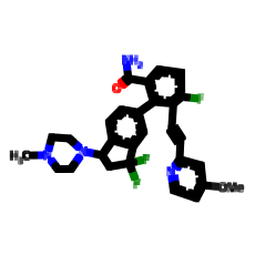 COc1ccnc(C#Cc2c(F)ccc(C(N)=O)c2-c2ccc3c(c2)C(F)(F)CC3N2CCN(C)CC2)c1